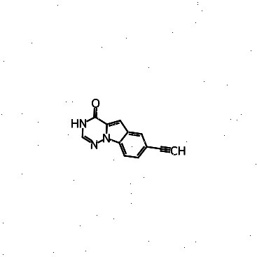 C#Cc1ccc2c(c1)cc1c(=O)[nH]cnn12